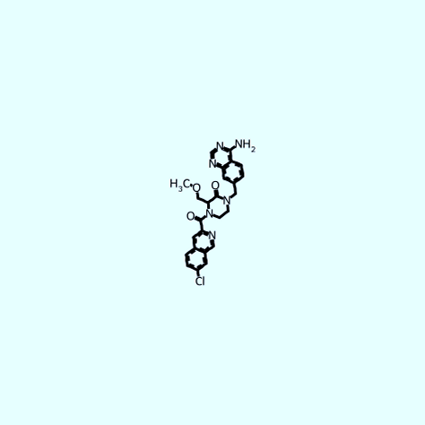 COCC1C(=O)N(Cc2ccc3c(N)ncnc3c2)CCN1C(=O)c1cc2ccc(Cl)cc2cn1